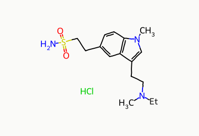 CCN(C)CCc1cn(C)c2ccc(CCS(N)(=O)=O)cc12.Cl